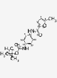 Cc1ccc(C(=O)Nc2ccc(NC(=O)OC(C)(C)C)cc2)o1